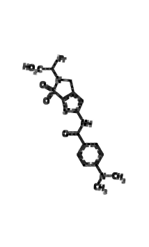 CC(C)C(C(=O)O)N1Cc2cc(NC(=O)c3ccc(N(C)C)cc3)sc2S1(=O)=O